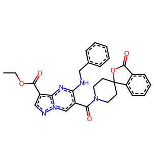 CCOC(=O)c1cnn2cc(C(=O)N3CCC4(CC3)OC(=O)c3ccccc34)c(NCc3ccccc3)nc12